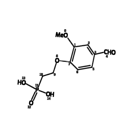 COc1cc(C=O)ccc1OCCP(=O)(O)O